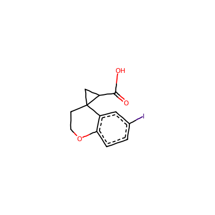 O=C(O)C1CC12CCOc1ccc(I)cc12